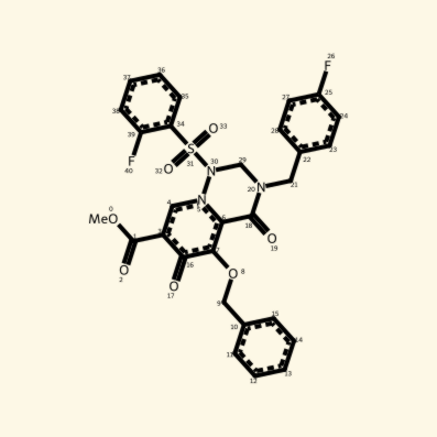 COC(=O)c1cn2c(c(OCc3ccccc3)c1=O)C(=O)N(Cc1ccc(F)cc1)CN2S(=O)(=O)c1ccccc1F